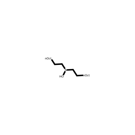 CCCCCCCCCCN(O)CCCCCCCCCC